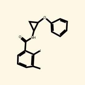 Cc1cccc(C(=O)NC2CC2Oc2ccccc2)c1I